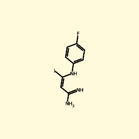 N=C(N)/C=C(/I)Nc1ccc(F)cc1